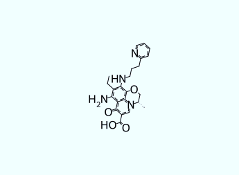 CCc1c(NCCCc2ccccn2)c2c3c(c1N)c(=O)c(C(=O)O)cn3[C@@H](C)CO2